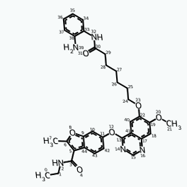 CCNC(=O)c1c(C)oc2cc(Oc3ncnc4cc(OC)c(OCCCCCCC(=O)Nc5ccccc5N)cc34)ccc12